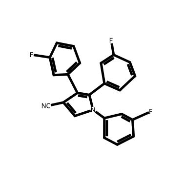 N#Cc1cn(-c2cccc(F)c2)c(-c2cccc(F)c2)c1-c1cccc(F)c1